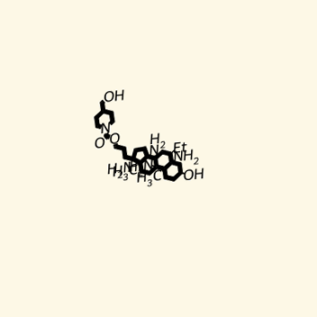 CC[C@H]1CC2(N)C3CC[C@](N)(CCCOC(=O)N4CCC(CO)CC4)C3(C)CC[C@]2(N)C2(C)CC[C@@H](O)CC12N